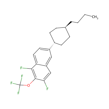 CCCC[C@H]1CC[C@H](c2ccc3c(F)c(OC(F)(F)F)c(F)cc3c2)CC1